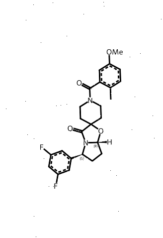 COc1ccc(C)c(C(=O)N2CCC3(CC2)O[C@@H]2CC[C@@H](c4cc(F)cc(F)c4)N2C3=O)c1